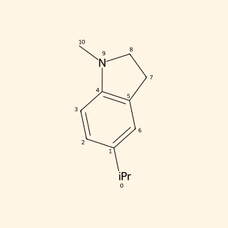 CC(C)c1ccc2c(c1)CCN2C